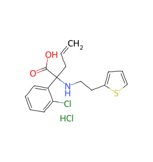 C=CCC(NCCc1cccs1)(C(=O)O)c1ccccc1Cl.Cl